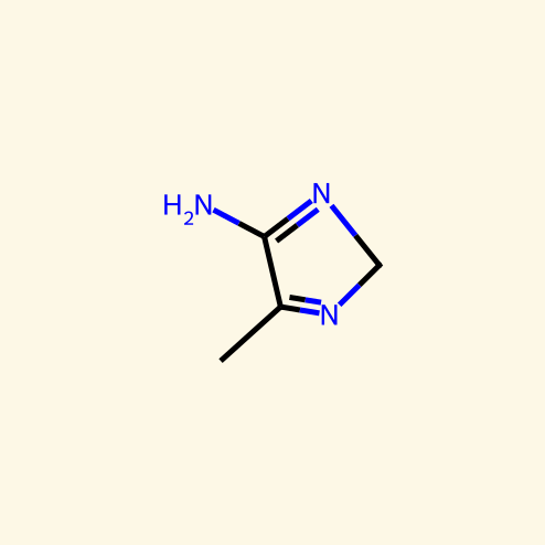 CC1=NCN=C1N